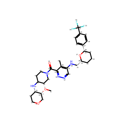 CO[C@@H]1COCC[C@@H]1NC1CCN(C(=O)c2nncc(NC[C@H]3CCC[C@@H](c4ccc(C(F)(F)F)cc4)O3)c2C)CC1